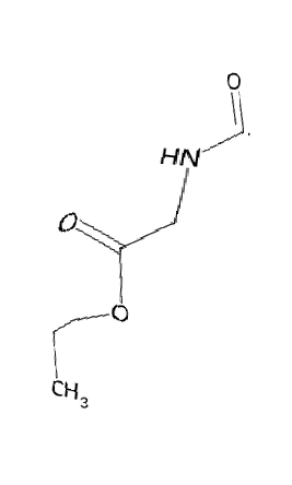 CCOC(=O)CN[C]=O